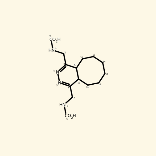 O=C(O)NCC1=NN=C(CNC(=O)O)C2CCCCCCC12